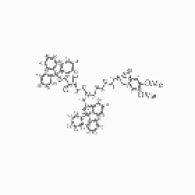 COc1cc2c(cc1OC)CN(CCCCCCN(CCNC(=O)CSC(c1ccccc1)(c1ccccc1)c1ccccc1)CCSC(c1ccccc1)(c1ccccc1)c1ccccc1)CC2